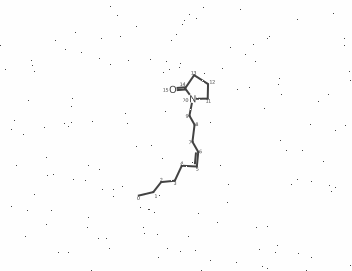 CCCCC/C=C\CCCN1CCCC1=O